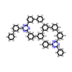 c1ccc(-c2cccc(-c3nc(-c4cccc(-c5ccccc5)c4)nc(-c4cccc(-c5cccc(-c6cccc(-c7cccc(-c8cccc(-c9nc(-c%10ccccc%10)nc(-c%10ccccc%10)n9)c8)c7)c6)c5)c4)n3)c2)cc1